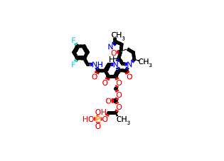 CC1=NO[C@@]2(CC[C@H](C)N3C[C@H]2n2cc(C(=O)NCc4ccc(F)cc4F)c(=O)c(OCOC(=O)O[C@@H](C)COP(=O)(O)O)c2C3=O)C1